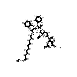 C#C[C@@]1(CO[P@@](=O)(N[C@@H](Cc2ccccc2)C(=O)OCCCCCCCCCCCCCCCCCCCC)Oc2ccccc2)[CH]C[C@H](n2cnc3c(N)nc(F)nc32)O1